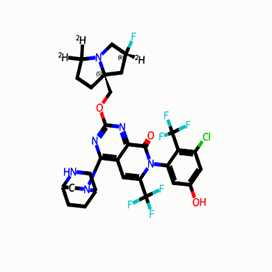 [2H]C1([2H])CC[C@@]2(COc3nc(N4CC5CCC4CN5)c4cc(C(F)(F)F)n(-c5cc(O)cc(Cl)c5C(F)(F)F)c(=O)c4n3)C[C@@]([2H])(F)CN12